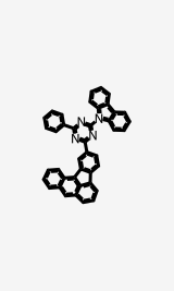 c1ccc(-c2nc(-c3ccc4c(c3)-c3c5ccccc5cc5cccc-4c35)nc(-n3c4ccccc4c4ccccc43)n2)cc1